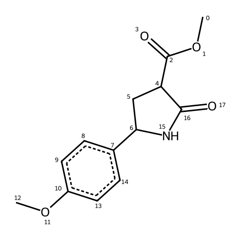 COC(=O)C1CC(c2ccc(OC)cc2)NC1=O